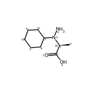 C[C@@H](C(=O)O)N(N)C1CCCCC1